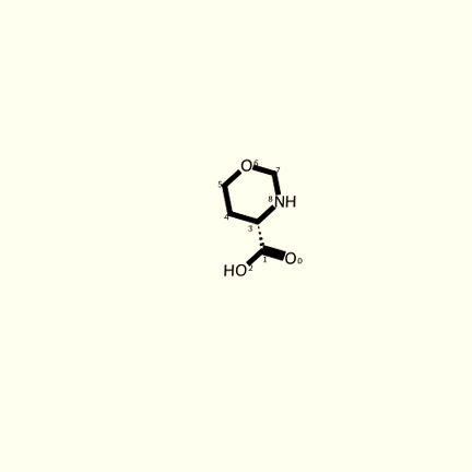 O=C(O)[C@@H]1CCOCN1